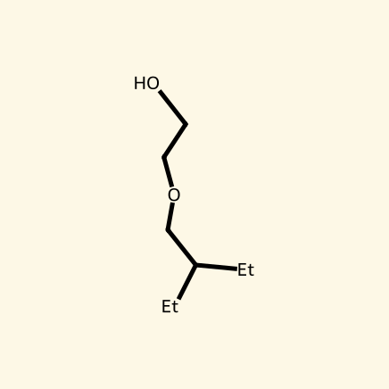 CCC(CC)COCCO